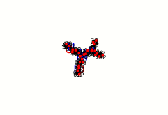 c1ccc(-c2ccc3c(c2)c2cc(-c4ccccc4)ccc2n3-c2ccc(-c3nc(-c4ccc5cc(-c6nc7ccccc7o6)ccc5c4)nc(-c4ccc5cc(-c6nc7ccccc7o6)ccc5c4)n3)cc2)cc1